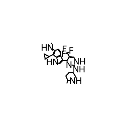 CNc1ccc2c(C3=NC(NC4CCC(C)NC4)NC=C3C(F)(F)F)c[nH]c2c1C1CC1